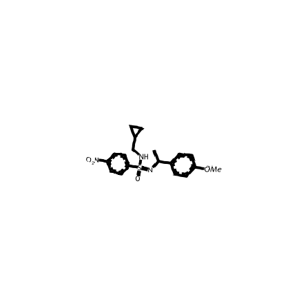 COc1ccc(C(C)N=S(=O)(NCC2CC2)c2ccc([N+](=O)[O-])cc2)cc1